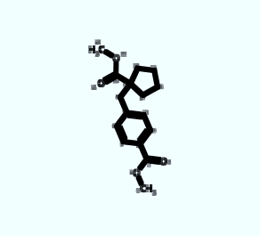 COC(=O)c1ccc(CC2(C(=O)OC)CCCC2)cc1